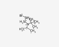 CC(C)N([SiH2][SiH2]Br)C(C)(C)C